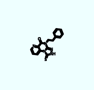 O=c1c2ncccc2n2c(=S)[nH]nc2n1CCc1ccccc1